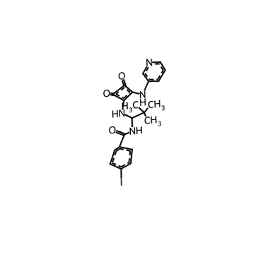 CC(C)(C)C(NC(=O)c1ccc(I)cc1)Nc1c(Nc2cccnc2)c(=O)c1=O